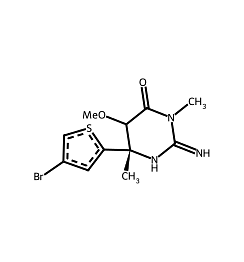 COC1C(=O)N(C)C(=N)N[C@]1(C)c1cc(Br)cs1